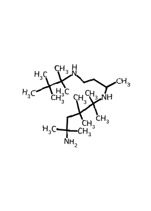 CC(CCNC(C)(C)C(C)(C)C)NC(C)(C)C(C)(C)CC(C)(C)N